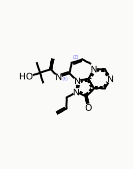 C=CCn1c(=O)c2cncnc2n1C(/C=C\C)=N/C(=C)C(C)(C)O